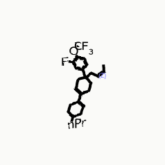 C/C=C\CC1(c2ccc(OC(F)(F)F)c(F)c2)CCC(C2CCC(CCC)CC2)CC1